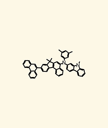 Cc1cc(C)cc(N(c2ccc3c4ccccc4n(C)c3c2)c2cc3c(c4ccccc24)-c2ccc(-c4cc5ccccc5c5ccccc45)cc2C3(C)C)c1